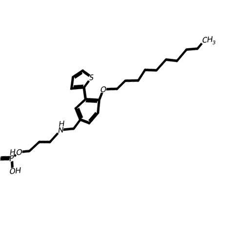 CCCCCCCCCCOc1ccc(CNCCCO[PH](=O)O)cc1-c1cccs1